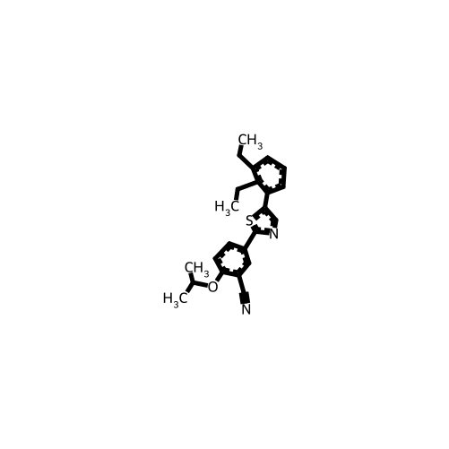 CCc1cccc(-c2cnc(-c3ccc(OC(C)C)c(C#N)c3)s2)c1CC